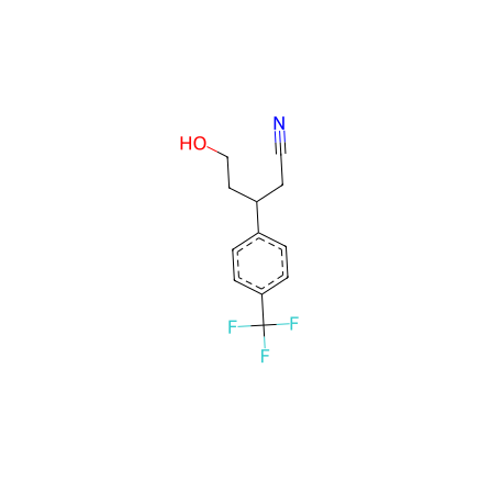 N#CCC(CCO)c1ccc(C(F)(F)F)cc1